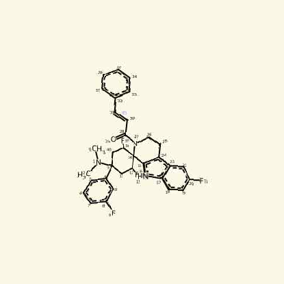 CN(C)C1(c2cccc(F)c2)CC(F)C2(c3[nH]c4ccc(F)cc4c3CCN2C(=O)/C=C/c2ccccc2)C(F)C1